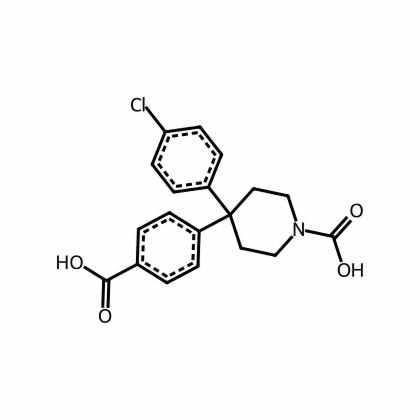 O=C(O)c1ccc(C2(c3ccc(Cl)cc3)CCN(C(=O)O)CC2)cc1